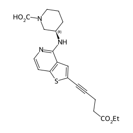 CCOC(=O)CCC#Cc1cc2c(N[C@@H]3CCCN(C(=O)O)C3)nccc2s1